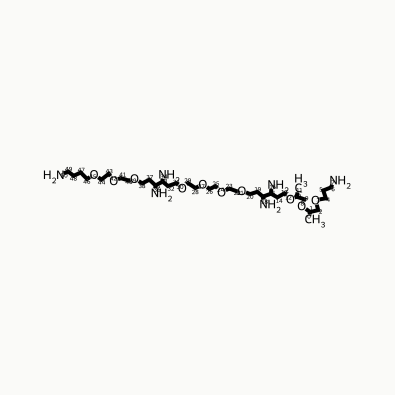 CC(COCCCN)OCC(C)OCCC(N)C(N)CCOCCOCCOCCOCCC(N)C(N)CCOCCOCCOCCCCN